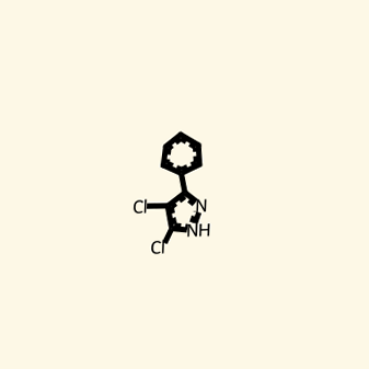 Clc1[nH]nc(-c2ccccc2)c1Cl